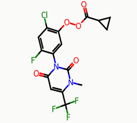 Cn1c(C(F)(F)F)cc(=O)n(-c2cc(OOC(=O)C3CC3)c(Cl)cc2F)c1=O